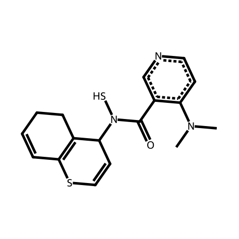 CN(C)c1ccncc1C(=O)N(S)C1C=CSC2=C1CCC=C2